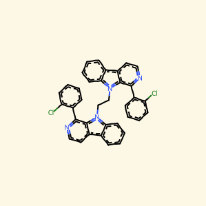 Clc1ccccc1-c1nccc2c3ccccc3n(CCn3c4ccccc4c4ccnc(-c5ccccc5Cl)c43)c12